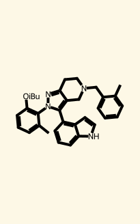 Cc1ccccc1CN1CCc2nn(-c3c(C)cccc3OCC(C)C)c(-c3cccc4[nH]ccc34)c2C1